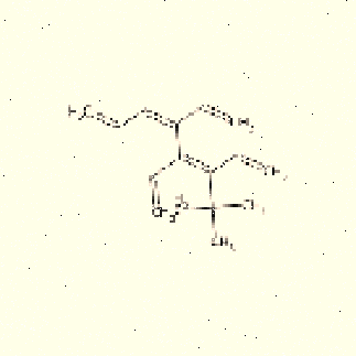 C=C/C=C(C=C)\C(C=C)=C(/C=C)C(C)(C)C